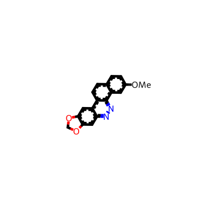 COc1ccc2ccc3c4cc5c(cc4nnc3c2c1)OCO5